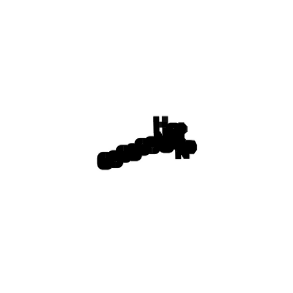 COCCOCCOCCOCCOCCOCCNC(=O)CN1CC2(CCC(c3ccccc3)(N(C)C)CC2)N(CC2CCC2)C1=O